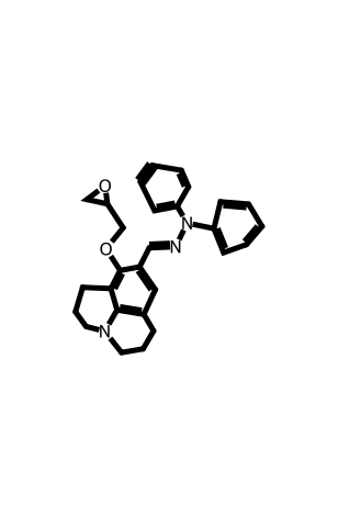 c1ccc(N(/N=C/c2cc3c4c(c2OCC2CO2)CCCN4CCC3)c2ccccc2)cc#1